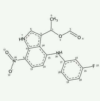 CC(OC=O)c1c[nH]c2c([N+](=O)[O-])ccc(Nc3cccc(F)c3)c12